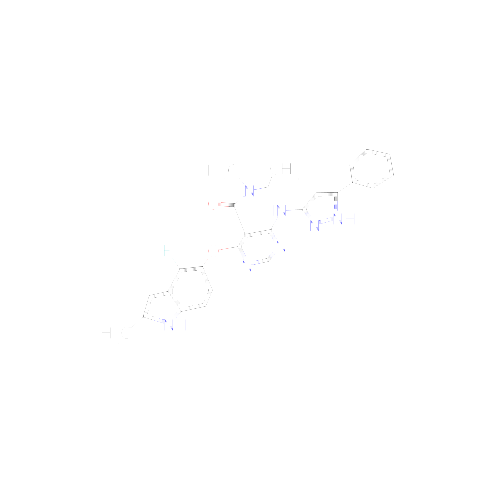 CCN(C)C(=O)c1c(Nc2cc(-c3ccccc3)[nH]n2)ncnc1Oc1ccc2[nH]c(C)cc2c1F